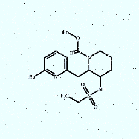 CC(C)OC(=O)N1CCCC(NS(=O)(=O)CC(F)(F)F)C1Cc1cccc(C(C)(C)C)n1